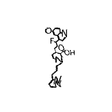 COc1ccc2nccc(C(F)CC[C@@H]3CCN(CCCCc4cccnn4)C[C@@H]3C(=O)O)c2c1